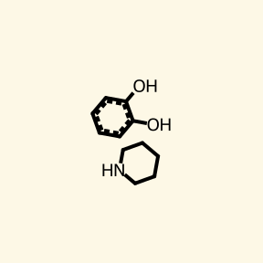 C1CCNCC1.Oc1ccccc1O